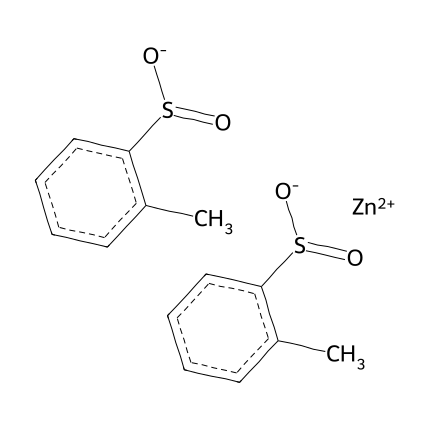 Cc1ccccc1S(=O)[O-].Cc1ccccc1S(=O)[O-].[Zn+2]